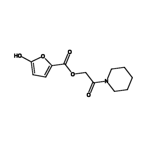 O=C(OCC(=O)N1CCCCC1)c1ccc(O)o1